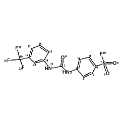 O=C(Nc1ccc(S(=O)(=O)F)cc1)Nc1cccc(C(F)(F)F)c1